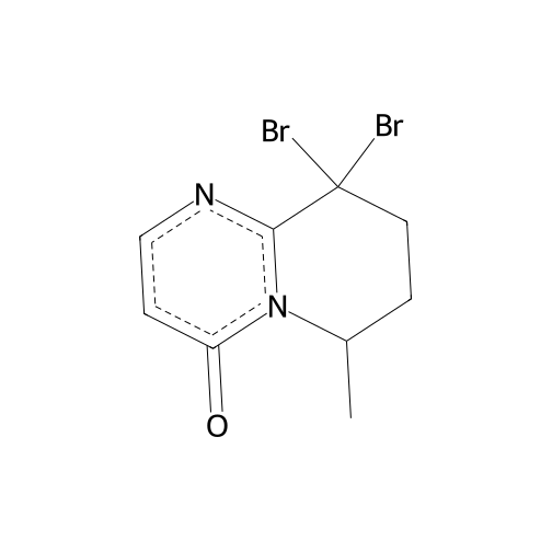 CC1CCC(Br)(Br)c2nccc(=O)n21